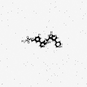 CS(=O)(=O)NCc1cc(F)cc(-c2ccnc3[nH]c(-c4n[nH]c5ncc(C6CCNCC6)cc45)nc23)c1